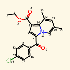 CCOC(=O)c1cc(C(=O)c2ccc(Cl)cc2)n2cc(C)cc(C)c12